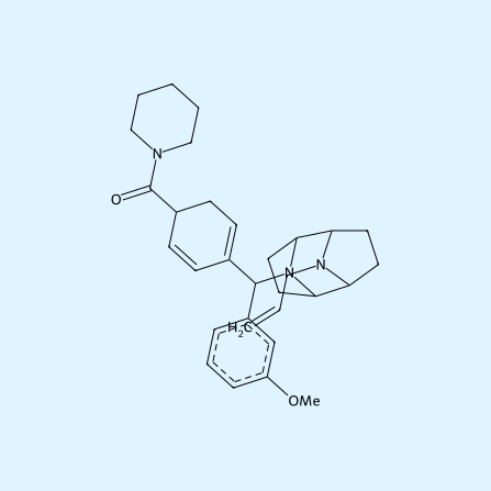 C=CCN1C2CCC1C1CCC2N1C(C1=CCC(C(=O)N2CCCCC2)C=C1)c1cccc(OC)c1